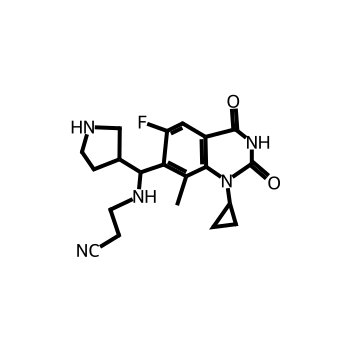 Cc1c(C(NCCC#N)C2CCNC2)c(F)cc2c(=O)[nH]c(=O)n(C3CC3)c12